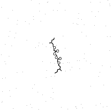 CCCC(C)CCOCC(=O)OCOC(=O)COCCC(C)CCC